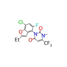 CCc1cc2c(-n3c(=O)cc(C(F)(F)F)n(C)c3=O)c(F)cc(Cl)c2o1